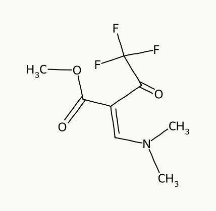 COC(=O)C(=CN(C)C)C(=O)C(F)(F)F